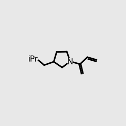 C=CC(=C)N1CCC(CC(C)C)C1